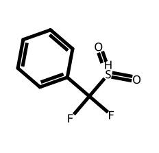 O=[SH](=O)C(F)(F)c1ccccc1